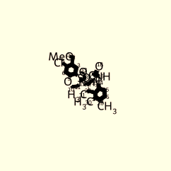 COCc1cc2c(cc1Cl)OCCN([C@H](c1n[nH]c(=O)o1)C(C)c1c(F)ccc(C)c1C)S2(=O)=O